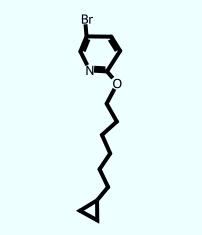 Brc1ccc(OCCCCCCC2CC2)nc1